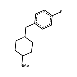 CNC1CCN(Cc2ccc(F)cc2)CC1